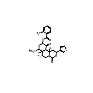 Cc1ccccc1C(=O)OC1CC(C(=O)O)C2(C)CCC3C(=O)OC(c4ccoc4)CC3(C)C2C1=O